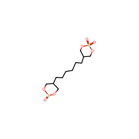 O=S1OCC(CCCCCCC2COS(=O)(=O)OC2)CO1